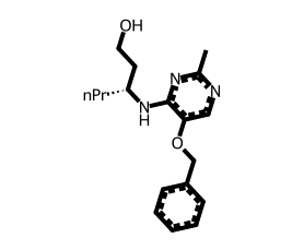 CCC[C@H](CCO)Nc1nc(C)ncc1OCc1ccccc1